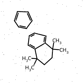 CC1(C)CCC(C)(C)c2ccccc21.c1ccccc1